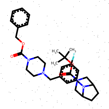 CC(C)(C)OC(=O)N1CC2CCC(C1)N2c1cc(F)cc(CN2CCN(C(=O)OCc3ccccc3)CC2)c1